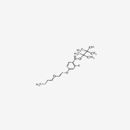 CCCCOCCOc1ccc(BOC(C)(C)C(C)(C)O)c(F)c1